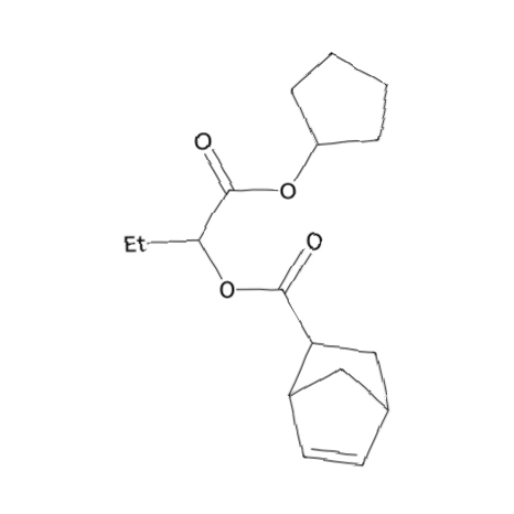 CCC(OC(=O)C1CC2C=CC1C2)C(=O)OC1CCCC1